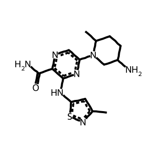 Cc1cc(Nc2nc(N3CC(N)CCC3C)cnc2C(N)=O)sn1